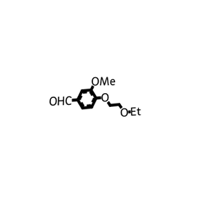 CCOCCOc1ccc(C=O)cc1OC